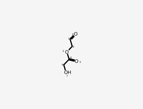 O=[C]COC(=O)CO